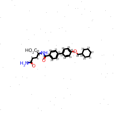 NC(=O)CC[C@H](NC(=O)c1ccc(-c2ccc(OCC3CCCCC3)cc2)cc1)C(=O)O